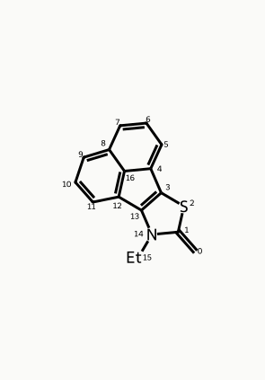 C=c1sc2c3cccc4cccc(c=2n1CC)c43